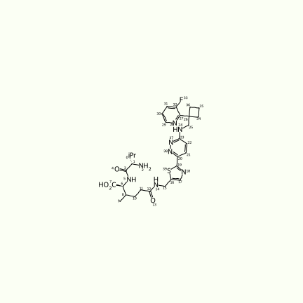 CC(C)[C@H](N)C(=O)N[C@H](C(=O)O)C(C)CCC(=O)NCc1cnc(-c2ccc(NCC3(c4ncccc4F)CCC3)nn2)s1